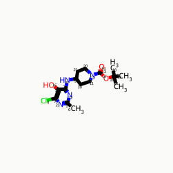 Cc1nc(Cl)c(O)c(NC2CCN(C(=O)OC(C)(C)C)CC2)n1